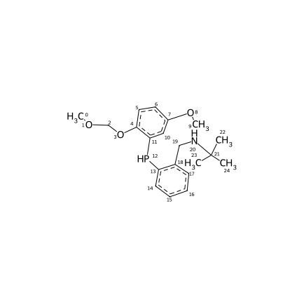 COCOc1ccc(OC)cc1Pc1ccccc1CNC(C)(C)C